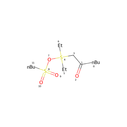 CCCCC(=O)CS(CC)(CC)OS(=O)(=O)CCCC